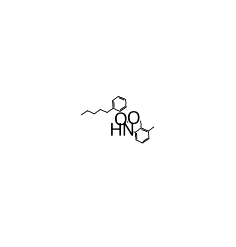 CCCCCc1ccccc1OC(=O)Nc1cccc(C)c1C